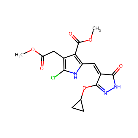 COC(=O)Cc1c(Cl)[nH]c(C=C2C(=O)NN=C2OC2CC2)c1C(=O)OC